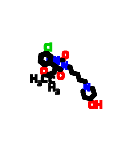 CC1(C)CC2(NC(=O)N(CCCCCN3CCC(O)CC3)C2=O)c2cc(Cl)ccc2O1